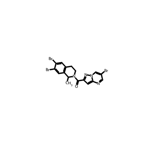 CC1c2cc(Br)c(Br)cc2CCN1C(=O)c1cc2ncc(Br)cn2n1